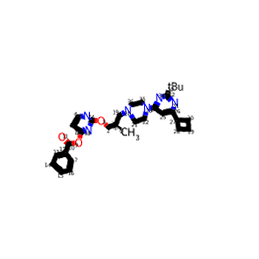 C[C@@H](COc1nccc(OC(=O)c2ccccc2)n1)CN1CCN(c2cc(C3CCC3)nc(C(C)(C)C)n2)CC1